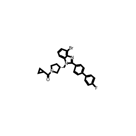 O=C(C1CC1)N1CC[C@H](Cn2c(-c3ccc(-c4ccc(F)cc4)cc3)nc3c(Br)cccc32)C1